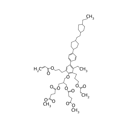 C=CC(=O)OCCCc1cc(-c2ccc(C3CCC(CCC4CCC(CCC)CC4)CC3)cc2)c(CC)c(CCCOC(=O)C=C)c1OCC(COC(=O)CCC(=O)OC)COC(=O)CCC(=O)OC